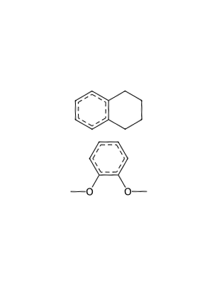 COc1ccccc1OC.c1ccc2c(c1)CCCC2